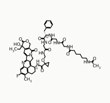 CC[C@@]1(O)C(=O)OCc2c1cc1n(c2=O)Cc2c-1nc1cc(F)c(C)c3c1c2[C@@H](NC(=O)C1(OCNC(=O)CNC(=O)[C@H](Cc2ccccc2)NC(=O)CNC(=O)CNC(=O)CCCCCNC(C)=O)CC1)CC3